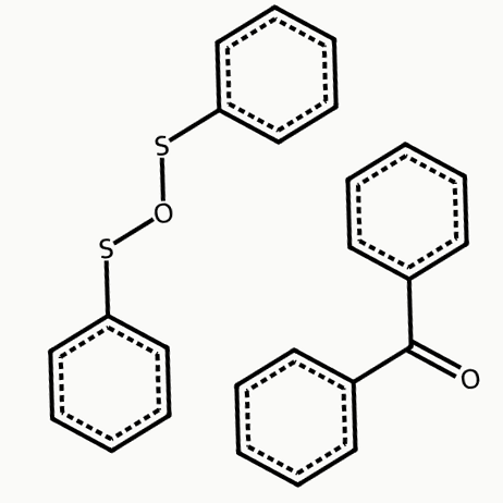 O=C(c1ccccc1)c1ccccc1.c1ccc(SOSc2ccccc2)cc1